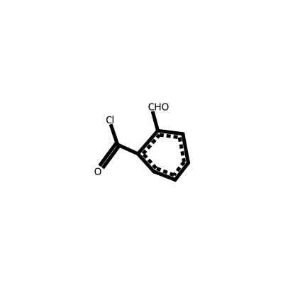 O=Cc1ccccc1C(=O)Cl